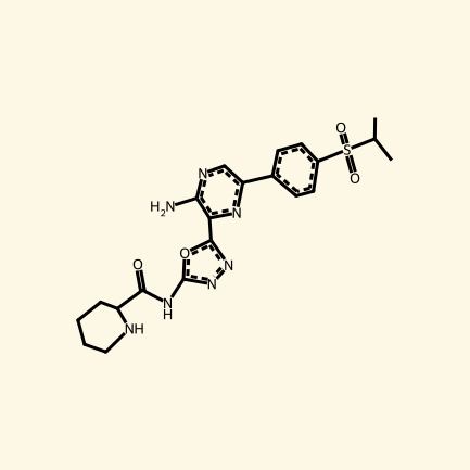 CC(C)S(=O)(=O)c1ccc(-c2cnc(N)c(-c3nnc(NC(=O)C4CCCCN4)o3)n2)cc1